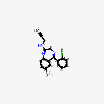 C#CCNC1=Nc2ccc(C(F)(F)F)cc2C(c2ccccc2F)=NC1